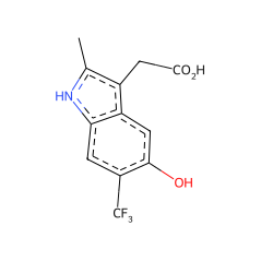 Cc1[nH]c2cc(C(F)(F)F)c(O)cc2c1CC(=O)O